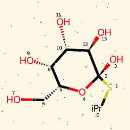 CC(C)S[C@]1(O)O[C@H](CO)[C@H](O)[C@H](O)[C@H]1O